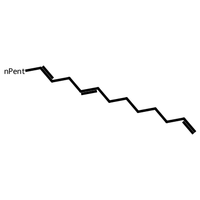 C=CCCCCCC=CCC=CCCCCC